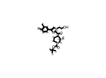 Cc1cc(-c2cn(CCO)c(C(=O)[C@H]3CCN(C(=O)OC(C)(C)C)C[C@H]3F)n2)ccc1F